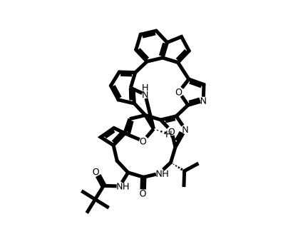 CC(C)[C@@H]1NC(=O)C(NC(=O)C(C)(C)C)Cc2ccc3c(c2)C24c5cccc(c5N[C@H]2O3)-c2cccc3c2C(=CC3)c2cnc(o2)-c2nc1oc24